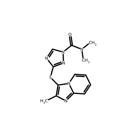 Cc1nc2ccccn2c1Sc1ncn(C(=O)N(C)C)n1